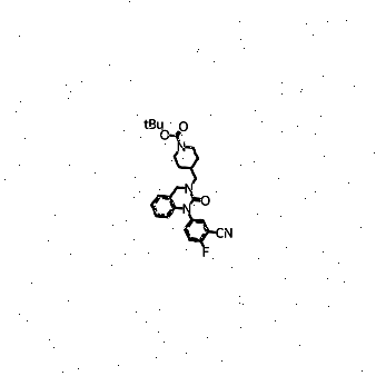 CC(C)(C)OC(=O)N1CCC(CN2Cc3ccccc3N(c3ccc(F)c(C#N)c3)C2=O)CC1